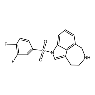 O=S(=O)(c1ccc(F)c(F)c1)n1cc2c3c(cccc31)CNCC2